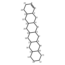 C1=CC2CC3CC4CC5CC6CCCCC6CC5CC4CC3CC2CC1